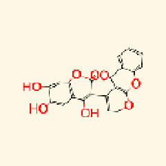 O=c1oc2cc(O)c(O)cc2c(O)c1C1=CCOc2oc3ccccc3c(=O)c21